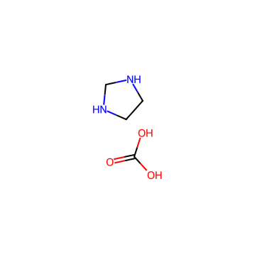 C1CNCN1.O=C(O)O